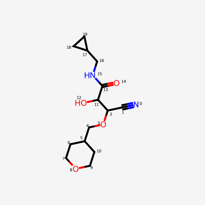 N#CC(OCC1CCOCC1)C(O)C(=O)NCC1CC1